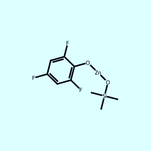 C[Si](C)(C)[O][Zn][O]c1c(F)cc(F)cc1F